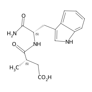 C[C@@H](CC(=O)O)C(=O)N[C@@H](Cc1c[nH]c2ccccc12)C(N)=O